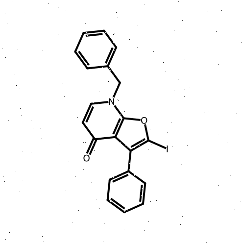 O=c1ccn(Cc2ccccc2)c2oc(I)c(-c3ccccc3)c12